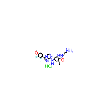 CCc1cc(Nc2nccn3c(-c4ccc(OC)c(F)c4F)cnc23)ccc1C(=O)NCCCN.Cl